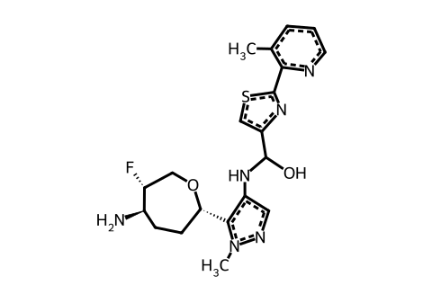 Cc1cccnc1-c1nc(C(O)Nc2cnn(C)c2[C@@H]2CC[C@@H](N)[C@H](F)CO2)cs1